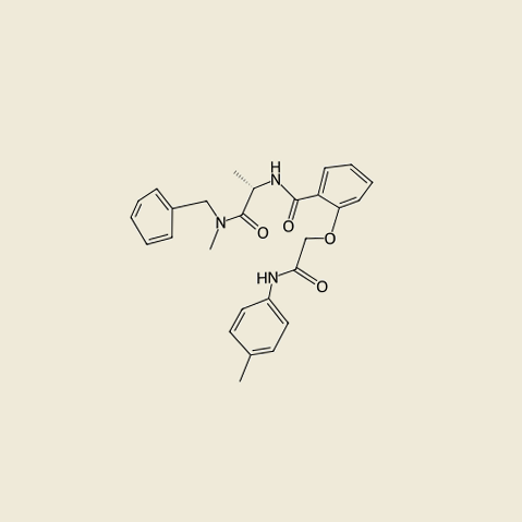 Cc1ccc(NC(=O)COc2ccccc2C(=O)N[C@@H](C)C(=O)N(C)Cc2ccccc2)cc1